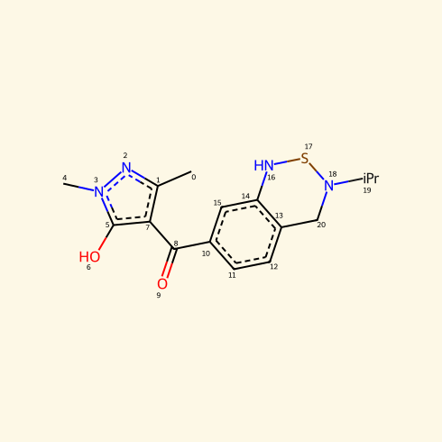 Cc1nn(C)c(O)c1C(=O)c1ccc2c(c1)NSN(C(C)C)C2